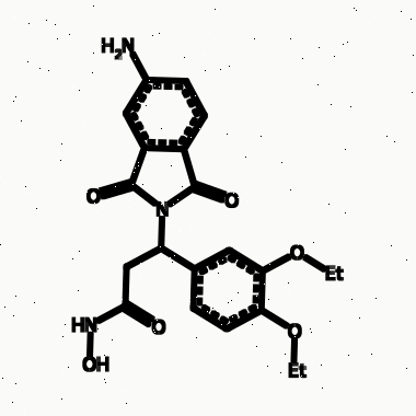 CCOc1ccc(C(CC(=O)NO)N2C(=O)c3ccc(N)cc3C2=O)cc1OCC